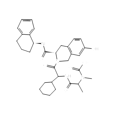 CC(C(=O)NC(C(=O)N1Cc2cc(O)ccc2C[C@@H]1C(=O)N[C@H]1CCCc2ccccc21)C1CCCCC1)N(C)C(=O)O